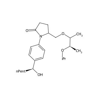 CCCCC[C@H](O)c1ccc(N2C(=O)CCC2COC(C)[C@@H](C)OC(C)C)cc1